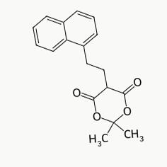 CC1(C)OC(=O)C(CCc2cccc3ccccc23)C(=O)O1